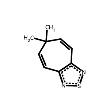 CC1(C)C=Cc2nsnc2C=C1